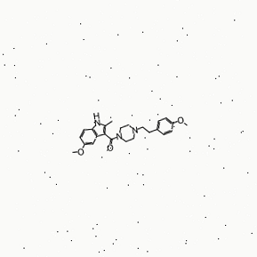 COc1ccc(CCN2CCN(C(=O)c3c(C)[nH]c4ccc(OC)cc34)CC2)cc1